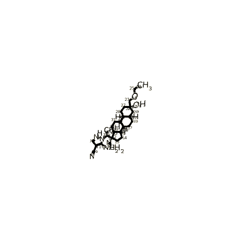 C=N[C@]1([C@@H](C)n2ncc(C#N)c2N)CC[C@H]2[C@@H]3CC[C@@H]4C[C@@](O)(COCC)CC[C@@H]4[C@H]3CC[C@@]21C